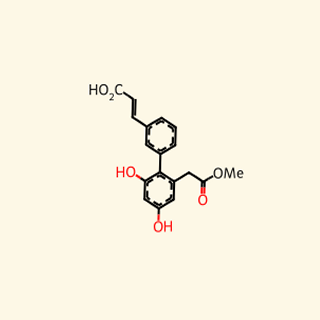 COC(=O)Cc1cc(O)cc(O)c1-c1cccc(/C=C/C(=O)O)c1